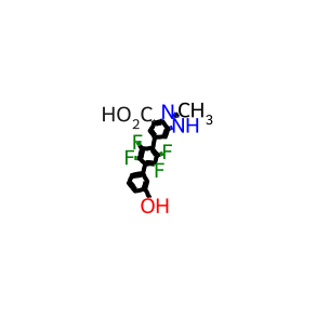 Cc1nc2c(C(=O)O)cc(-c3c(F)c(F)c(-c4cccc(CO)c4)c(F)c3F)cc2[nH]1